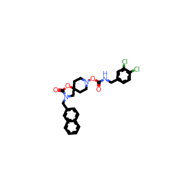 O=C(NCc1ccc(Cl)c(Cl)c1)ON1CCC2(CC1)CN(Cc1ccc3ccccc3c1)C(=O)O2